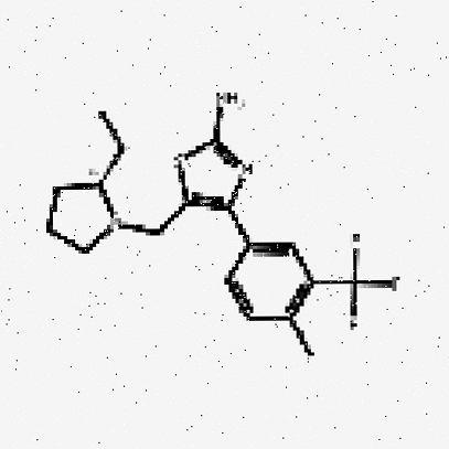 CC[C@@H]1CCCN1Cc1sc(N)nc1-c1ccc(C)c(C(F)(F)F)c1